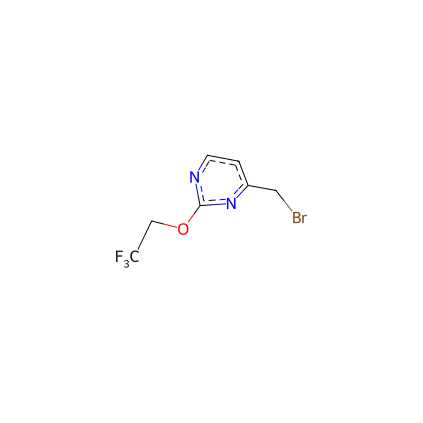 FC(F)(F)COc1nccc(CBr)n1